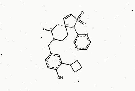 C[C@H]1C[C@@]2(C=CS(=O)(=O)N2c2cnccn2)CCN1Cc1ccc(O)c(C2CCC2)c1